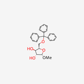 CO[C@H]1O[C@H](COC(c2ccccc2)(c2ccccc2)c2ccccc2)[C@H](O)[C@H]1O